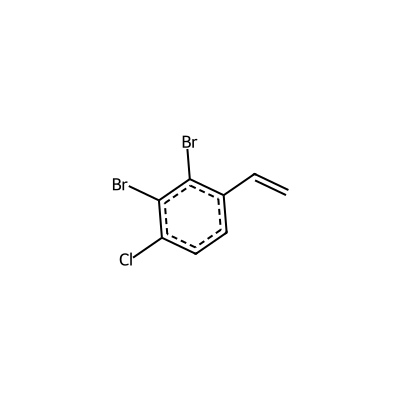 C=Cc1ccc(Cl)c(Br)c1Br